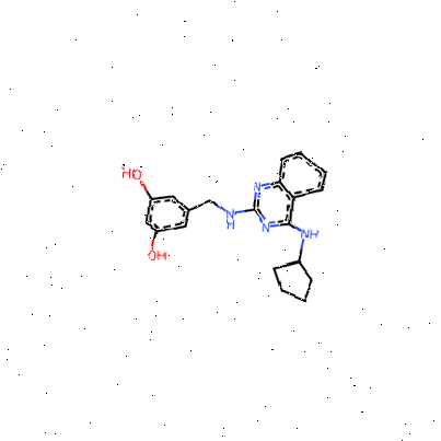 Oc1cc(O)cc(CNc2nc(NC3CCCC3)c3ccccc3n2)c1